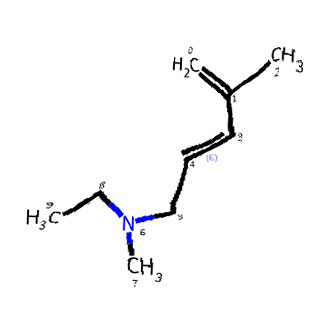 C=C(C)/C=C/CN(C)CC